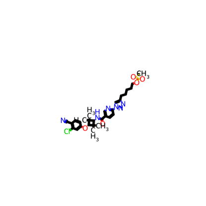 CC1(C)[C@H](NC(=O)c2ccc(-n3cc(CCCCCOS(C)(=O)=O)nn3)nc2)C(C)(C)[C@H]1Oc1ccc(C#N)c(Cl)c1